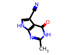 Cc1nc2[nH]cc(C#N)c2c(=O)[nH]1